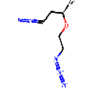 CC(=O)[C@H](CC=[N+]=[N-])OCCN=[N+]=[N-]